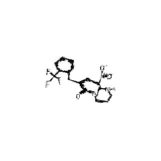 O=c1c(Cc2ccccc2C(F)(F)F)cc([N+](=O)[O-])c2n1CCCN2